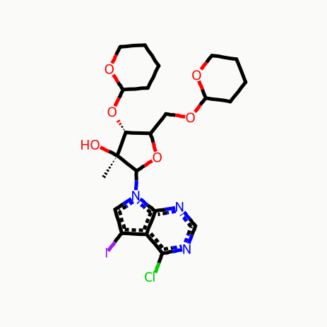 C[C@@]1(O)C(n2cc(I)c3c(Cl)ncnc32)OC(COC2CCCCO2)[C@H]1OC1CCCCO1